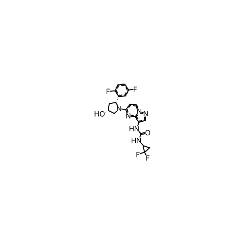 O=C(Nc1cnn2ccc(N3C[C@H](O)C[C@@H]3c3cc(F)ccc3F)nc12)NC1CC1(F)F